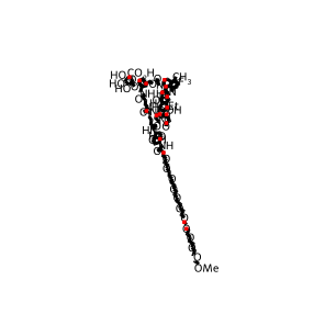 CC[C@@]1(O)C(=O)OCc2c1cc1n(c2=O)Cc2c-1nc1cc(F)c(C)c3c1c2[C@@H](NC(=O)OCc1ccc(OC2OC(C(=O)O)C(O)C(O)C2O)c(CNC(=O)CCNC(=O)[C@H](CCCC(=O)N[C@H]2CO[C@H]4[C@@H]2OC[C@@H]4NC(=O)CCOCCOCCOCCOCCOCCOCCOCCOCCOCCOCCOCCOC)NC(=O)CCN2C(=O)C=CC2=O)c1)CC3